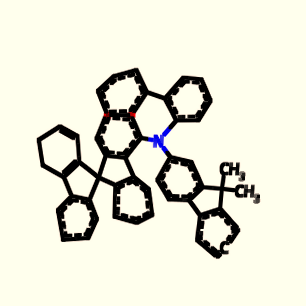 CC1(C)c2ccccc2-c2ccc(N(c3ccccc3-c3ccccc3)c3cccc4c3-c3ccccc3C43C4=C(CCC=C4)c4ccccc43)cc21